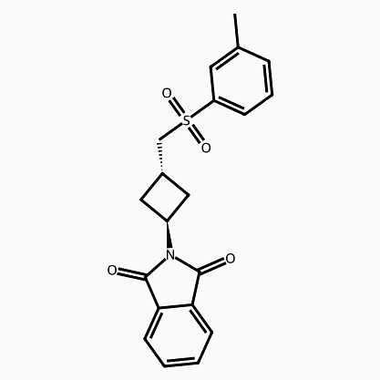 Cc1cccc(S(=O)(=O)C[C@H]2C[C@H](N3C(=O)c4ccccc4C3=O)C2)c1